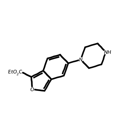 CCOC(=O)c1occ2cc(N3CCNCC3)ccc12